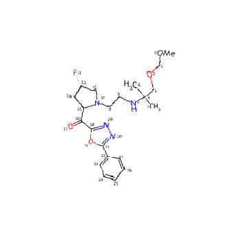 COCOCC(C)(C)NCCN1C[C@@H](F)CC1C(=O)c1nnc(-c2ccccc2)o1